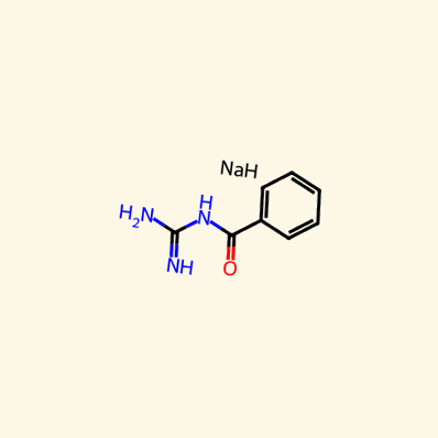 N=C(N)NC(=O)c1ccccc1.[NaH]